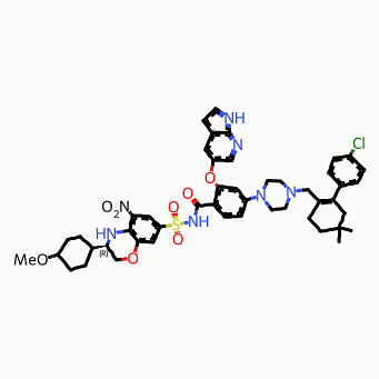 COC1CCC([C@@H]2COc3cc(S(=O)(=O)NC(=O)c4ccc(N5CCN(CC6=C(c7ccc(Cl)cc7)CC(C)(C)CC6)CC5)cc4Oc4cnc5[nH]ccc5c4)cc([N+](=O)[O-])c3N2)CC1